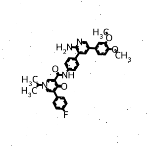 COc1ccc(-c2cnc(N)c(-c3ccc(NC(=O)c4cn(C(C)C)cc(-c5ccc(F)cc5)c4=O)cc3)c2)cc1OC